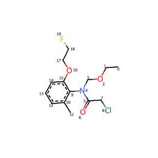 CCOCN(C(=O)CCl)c1c(C)cccc1OCCF